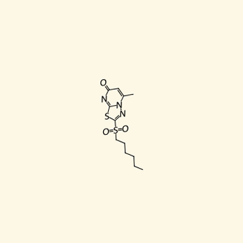 CCCCCCS(=O)(=O)c1nn2c(C)cc(=O)nc2s1